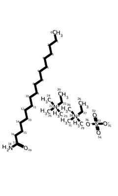 CCCCCCCCCCCCCCCCCC(N)=O.CC[N+](C)(C)C.CC[N+](C)(C)C.O=S(=O)([O-])[O-]